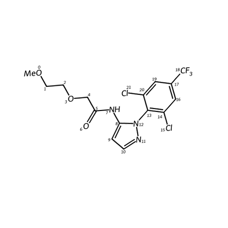 COCCOCC(=O)Nc1ccnn1-c1c(Cl)cc(C(F)(F)F)cc1Cl